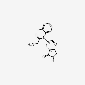 Cc1ccccc1N(C(=O)CN)[C@H](C=O)C[C@@H]1CCNC1=O